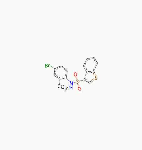 O=C(O)c1cc(Br)ccc1NS(=O)(=O)c1csc2ccccc12